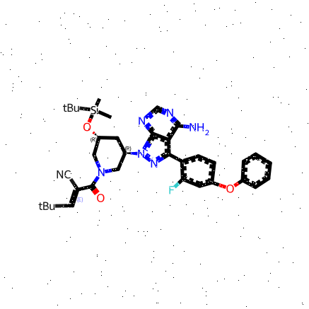 CC(C)(C)/C=C(\C#N)C(=O)N1C[C@H](O[Si](C)(C)C(C)(C)C)C[C@@H](n2nc(-c3ccc(Oc4ccccc4)cc3F)c3c(N)ncnc32)C1